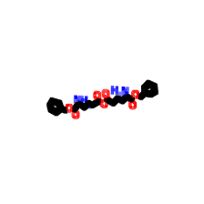 NC(CCCC(=O)OC(=O)CCCC(N)C(=O)OCc1ccccc1)C(=O)OCc1ccccc1